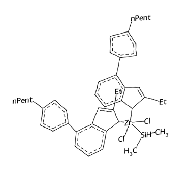 CCCCCc1ccc(-c2cccc3c2C=C(CC)[CH]3[Zr]([Cl])([Cl])([CH]2C(CC)=Cc3c(-c4ccc(CCCCC)cc4)cccc32)[SiH](C)C)cc1